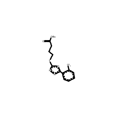 CC(C)COC(=O)CCCSc1nnc(-c2ccccc2C(F)(F)F)o1